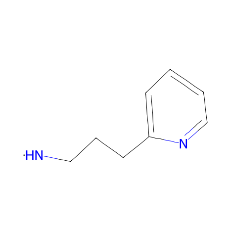 [NH]CCCc1ccccn1